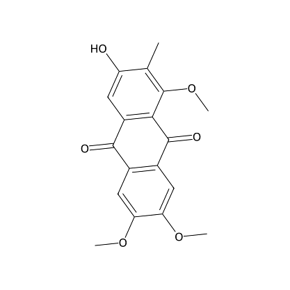 COc1cc2c(cc1OC)C(=O)c1c(cc(O)c(C)c1OC)C2=O